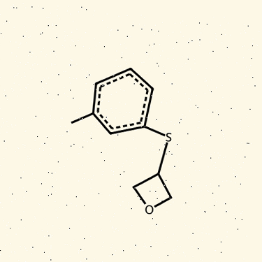 Cc1cccc(SC2COC2)c1